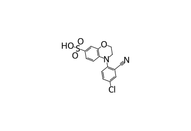 N#Cc1cc(Cl)ccc1N1CCOc2cc(S(=O)(=O)O)ccc21